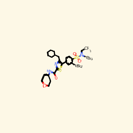 CC(C)(C)c1cc(-c2sc(C(=O)NC3CCOCC3)nc2CC2CCCCC2)ccc1S(=O)(=O)N(CC(F)(F)F)C(C)(C)C